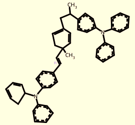 CC(CC1=CCC(C)(/C=C/c2ccc(N(c3ccccc3)C3C=CC=CC3)cc2)C=C1)c1ccc(N(c2ccccc2)c2ccccc2)cc1